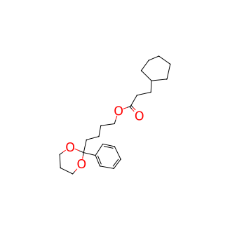 O=C(CCC1CCCCC1)OCCCCC1(c2ccccc2)OCCCO1